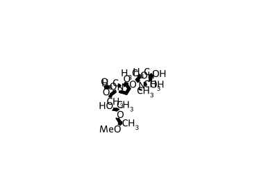 CC(O)C(=O)N(C)C.CC(O)CO.CC1COC(=O)O1.CN1CCCC1=O.COC(C)COC(C)CO